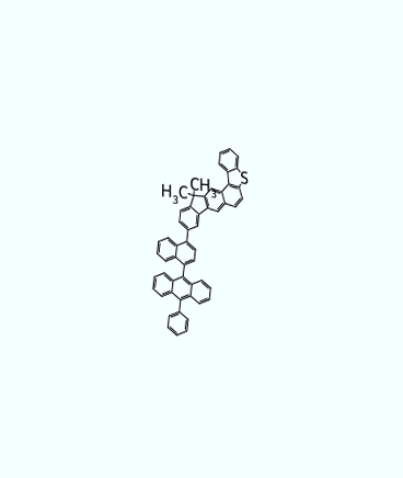 CC1(C)c2ccc(-c3ccc(-c4c5ccccc5c(-c5ccccc5)c5ccccc45)c4ccccc34)cc2-c2cc3ccc4sc5ccccc5c4c3cc21